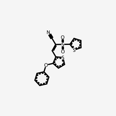 N#CC(=Cc1sccc1Oc1ccccc1)S(=O)(=O)c1cccs1